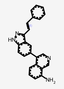 Nc1cccc2c(-c3ccc4[nH]nc(/C=C/c5ccccc5)c4c3)cncc12